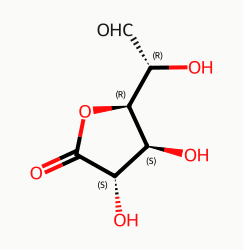 O=C[C@H](O)[C@@H]1OC(=O)[C@@H](O)[C@@H]1O